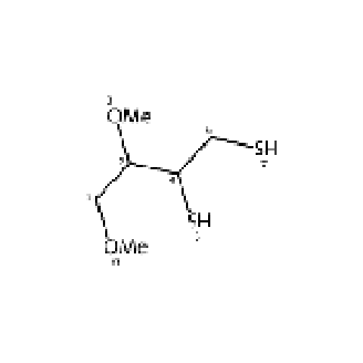 COCC(OC)C(S)CS